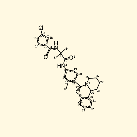 Cc1cc(NC(=O)C(C)(C)NC(=O)c2ccc(Cl)s2)ccc1C(=O)N1CCCCC1c1cccnc1